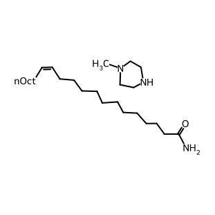 CCCCCCCC/C=C\CCCCCCCCCCCC(N)=O.CN1CCNCC1